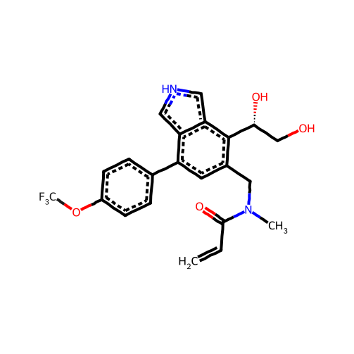 C=CC(=O)N(C)Cc1cc(-c2ccc(OC(F)(F)F)cc2)c2c[nH]cc2c1[C@H](O)CO